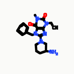 Cn1c(=O)c2c(nc(N3CCCC(N)C3)n2Cc2ccccc2)n(CC#N)c1=O